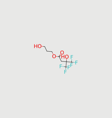 O=C(CC(O)(C(F)(F)F)C(F)(F)F)OCCCO